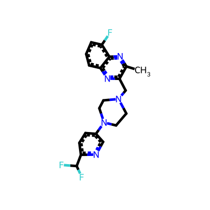 Cc1nc2c(F)cccc2nc1CN1CCN(c2ccc(C(F)F)nc2)CC1